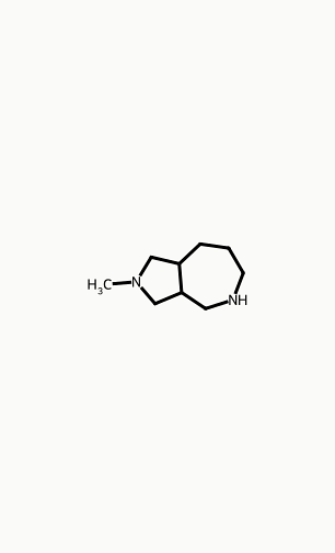 CN1CC2CCCNCC2C1